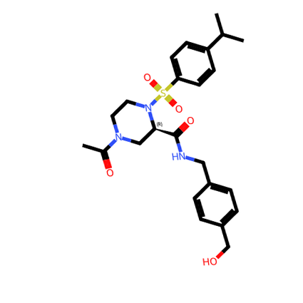 CC(=O)N1CCN(S(=O)(=O)c2ccc(C(C)C)cc2)[C@@H](C(=O)NCc2ccc(CO)cc2)C1